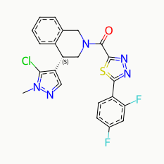 Cn1ncc([C@H]2CN(C(=O)c3nnc(-c4ccc(F)cc4F)s3)Cc3ccccc32)c1Cl